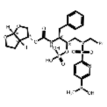 CB(O)c1ccc(S(=O)(=O)N(CC(C)C)C[C@@H](OP(=O)(O)O)[C@H](Cc2ccccc2)NC(=O)O[C@H]2CO[C@H]3OCC[C@H]32)nc1